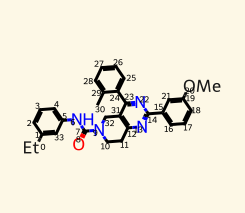 CCc1cccc(NC(=O)N2CCc3nc(-c4cccc(OC)c4)nc(-c4ccccc4C)c3C2)c1